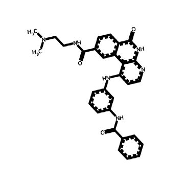 CN(C)CCNC(=O)c1ccc2c(=O)[nH]c3nccc(Nc4cccc(NC(=O)c5ccccc5)c4)c3c2c1